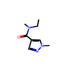 CCN(C)C(=O)c1cnn(C)c1